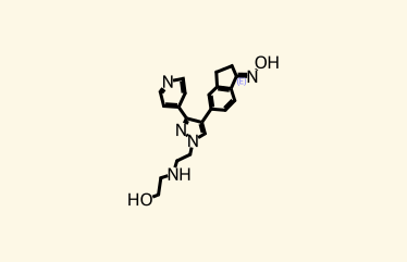 OCCNCCn1cc(-c2ccc3c(c2)CC/C3=N\O)c(-c2ccncc2)n1